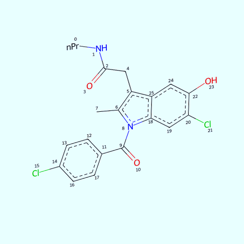 CCCNC(=O)Cc1c(C)n(C(=O)c2ccc(Cl)cc2)c2cc(Cl)c(O)cc12